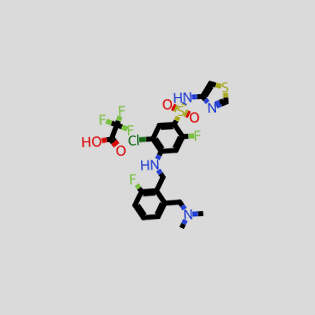 CN(C)Cc1cccc(F)c1CNc1cc(F)c(S(=O)(=O)Nc2cscn2)cc1Cl.O=C(O)C(F)(F)F